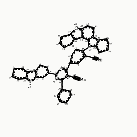 N#Cc1cc(-c2nc(-c3ccc4c(c3)sc3ccccc34)nc(-c3ccccc3)c2C#N)ccc1-n1c2ccccc2c2ccc3oc4ccccc4c3c21